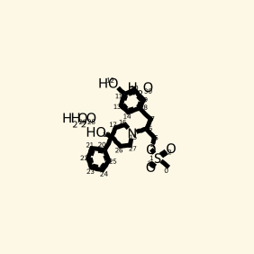 CS(=O)(=O)OCC(Cc1ccc(O)cc1)N1CCC(O)(c2ccccc2)CC1.O.O.O